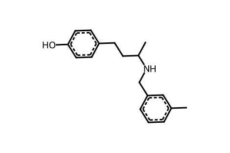 Cc1cccc(CNC(C)CCc2ccc(O)cc2)c1